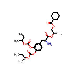 CCC(C)OC(=O)Oc1cc(C[C@H](N)C(=O)OC(C)COC(=O)C2CCCCC2)ccc1OC(=O)O[C@@H](C)CC